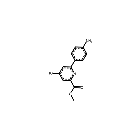 COC(=O)c1cc(O)cc(-c2ccc(N)cc2)n1